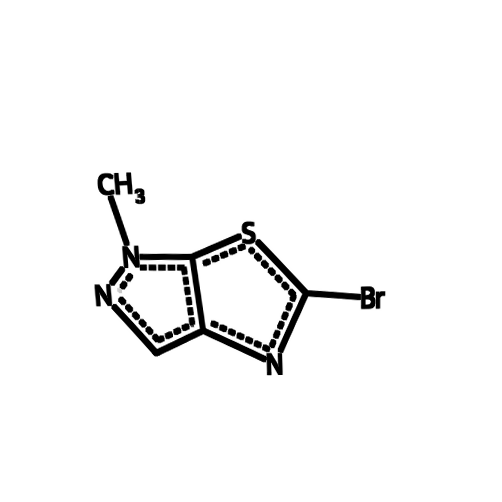 Cn1ncc2nc(Br)sc21